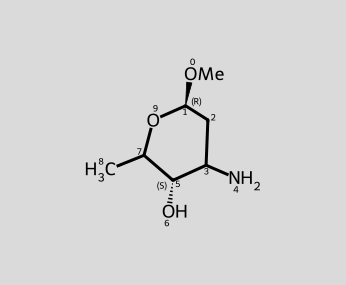 CO[C@H]1CC(N)[C@H](O)C(C)O1